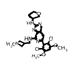 COc1cc(OC)c(Cl)c(-c2cc3cnc(NC4CCOC4)nc3c(NCC3CN(C)C3)n2)c1Cl